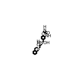 O=C1Nc2cc(C(O)NC[C@H](O)CN3CCc4ccccc4C3)ccc2OC12CNC2